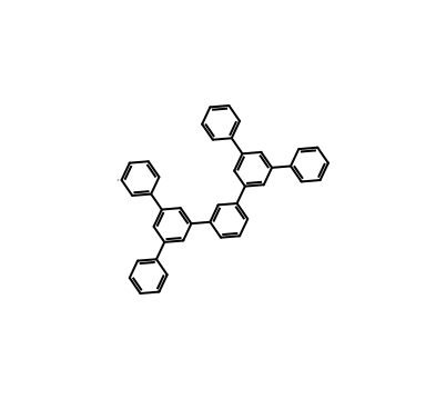 [c]1cccc(-c2cc(-c3ccccc3)cc(-c3cccc(-c4cc(-c5ccccc5)cc(-c5ccccc5)c4)c3)c2)c1